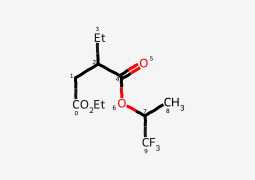 CCOC(=O)CC(CC)C(=O)OC(C)C(F)(F)F